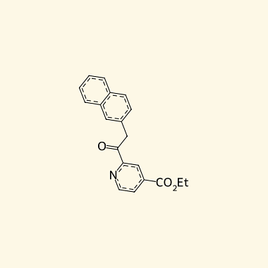 CCOC(=O)c1ccnc(C(=O)Cc2ccc3ccccc3c2)c1